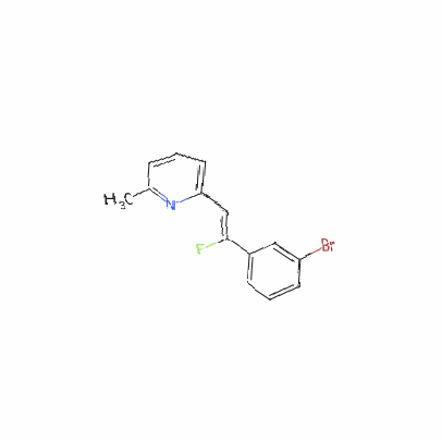 Cc1cccc(C=C(F)c2cccc(Br)c2)n1